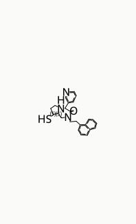 O=C(Cc1cccnc1)N(CCc1cccc2ccccc12)C[C@@H]1NCC[C@@H]1S